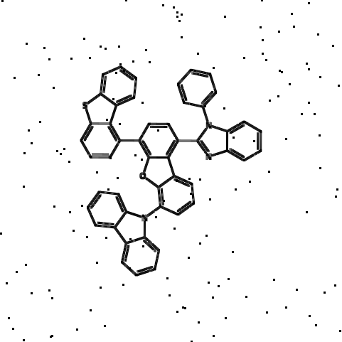 c1ccc(-n2c(-c3ccc(-c4cccc5sc6ccccc6c45)c4oc5c(-n6c7ccccc7c7ccccc76)cccc5c34)nc3ccccc32)cc1